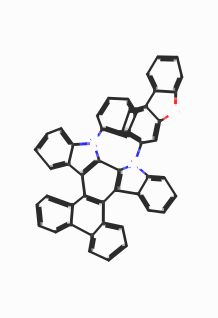 c1ccc(-n2c3ccccc3c3c4c5ccccc5c5ccccc5c4c4c5ccccc5n(-c5ccc6c(c5)oc5ccccc56)c4c32)cc1